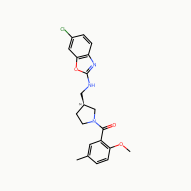 COc1ccc(C)cc1C(=O)N1CC[C@@H](CNc2nc3ccc(Cl)cc3o2)C1